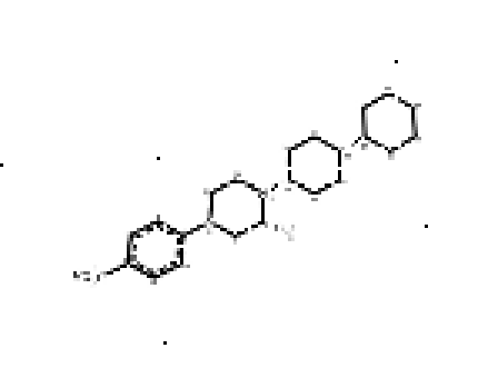 Cl.O=C(O)c1ccc(N2CCN([C@H]3CC[C@@H](C4CCCCC4)CC3)CC2)cc1